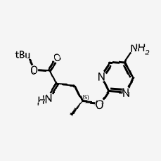 C[C@@H](CC(=N)C(=O)OC(C)(C)C)Oc1ncc(N)cn1